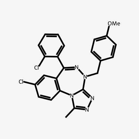 COc1ccc(CN2N=C(c3ccccc3Cl)c3cc(Cl)ccc3-n3c(C)nnc32)cc1